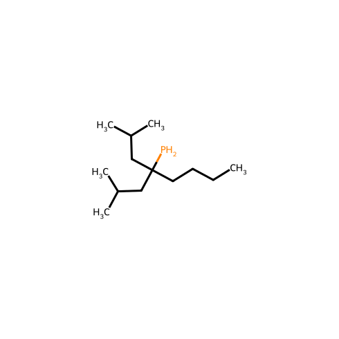 CCCCC(P)(CC(C)C)CC(C)C